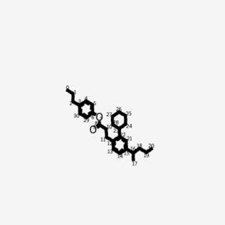 CCCc1ccc(OC(=O)CCc2ccc(C(C)CCC)cc2C2CCCCC2)cc1